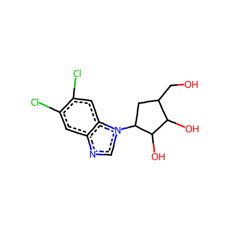 OCC1CC(n2cnc3cc(Cl)c(Cl)cc32)C(O)C1O